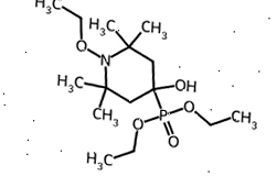 CCON1C(C)(C)CC(O)(P(=O)(OCC)OCC)CC1(C)C